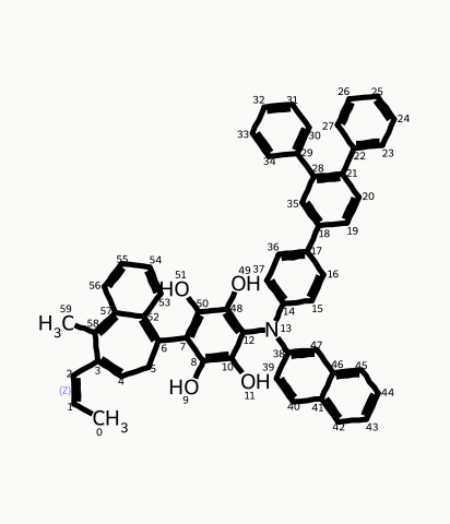 C/C=C\C1=CCC(c2c(O)c(O)c(N(c3ccc(-c4ccc(-c5ccccc5)c(-c5ccccc5)c4)cc3)c3ccc4ccccc4c3)c(O)c2O)=c2ccccc2=C1C